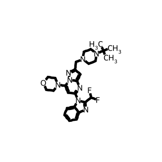 CC(C)(C)N1CCN(Cc2cc3nc(-n4c(C(F)F)nc5ccccc54)cc(N4CCOCC4)n3n2)CC1